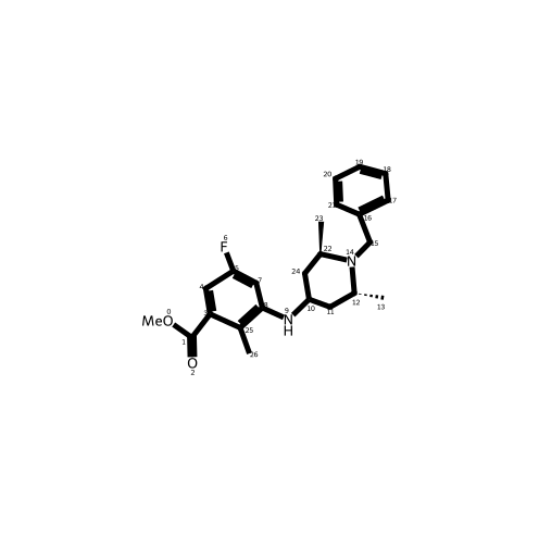 COC(=O)c1cc(F)cc(NC2C[C@@H](C)N(Cc3ccccc3)[C@H](C)C2)c1C